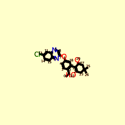 CCc1ccc(Oc2cnc3cc(Cl)ccc3n2)cc1C1=C(O)CC(C)(C)CC1=O